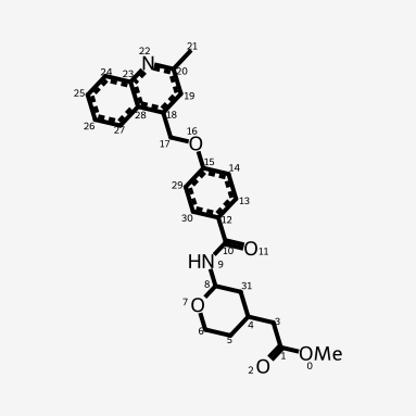 COC(=O)CC1CCOC(NC(=O)c2ccc(OCc3cc(C)nc4ccccc34)cc2)C1